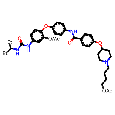 CCC(CC)NC(=O)Nc1ccc(Oc2ccc(NC(=O)c3ccc(OC4CCN(CCCCOC(C)=O)CC4)cc3)cc2)c(OC)c1